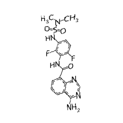 CN(C)S(=O)(=O)Nc1ccc(F)c(NC(=O)c2cccc3c(N)ncnc23)c1F